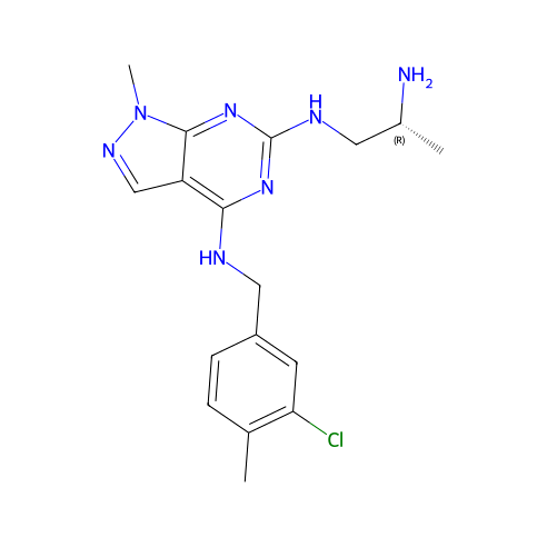 Cc1ccc(CNc2nc(NC[C@@H](C)N)nc3c2cnn3C)cc1Cl